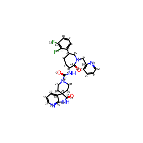 O=C(N[C@@H]1CC[C@@H](c2cccc(F)c2F)CN(Cc2ccccn2)C1=O)N1CCC2(CC1)C(=O)Nc1ncccc12